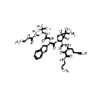 C#CCCC(NC(=O)[C@@H]1[C@@H]2[C@H](CN1C(=O)[C@@H](NC(=O)N[C@H](COC(=O)NCC)C(C)(C)C)C1Cc3ccccc3C1)C2(C)C)C(=O)C(=O)NCCC